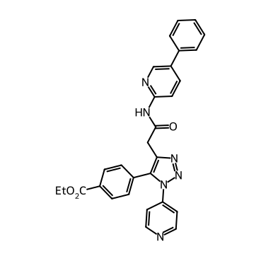 CCOC(=O)c1ccc(-c2c(CC(=O)Nc3ccc(-c4ccccc4)cn3)nnn2-c2ccncc2)cc1